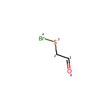 O=[C]CSBr